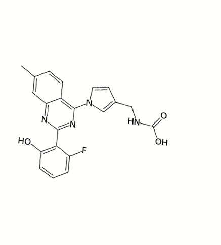 Cc1ccc2c(-n3ccc(CNC(=O)O)c3)nc(-c3c(O)cccc3F)nc2c1